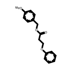 COc1ccc(COC(=O)CCOc2ccccc2)cc1